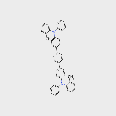 Cc1ccccc1N(c1ccccc1)c1ccc(-c2ccc(-c3ccc(N(c4ccccc4)c4ccccc4C)cc3)cc2)cc1